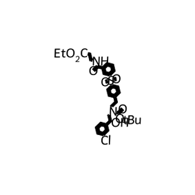 CCOC(=O)CCNC(=O)c1cccc(S(=O)(=O)c2ccc(CCN(C[C@@H](O)c3cccc(Cl)c3)C(=O)OC(C)(C)C)cc2)c1